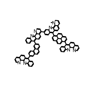 CN1CC=Cc2ccc3c(C4=C5C=CC6=CC=C(c7c8ccccc8nc8c7ccc7cccnc78)C7=CC=C(C=C4)C5C67)c4ccc(-c5ccnc6c5ccc5c(-c7ccc8ccc9cc(-c%10c%11ccccc%11nc%11c%10ccc%10cccnc%10%11)ccc9c8c7)c7ccccc7nc56)cc4nc3c21